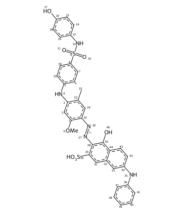 COc1cc(Nc2ccc(S(=O)(=O)Nc3ccc(O)cc3)cc2)c(C)cc1/N=N/c1c(S(=O)(=O)O)cc2cc(Nc3ccccc3)ccc2c1O